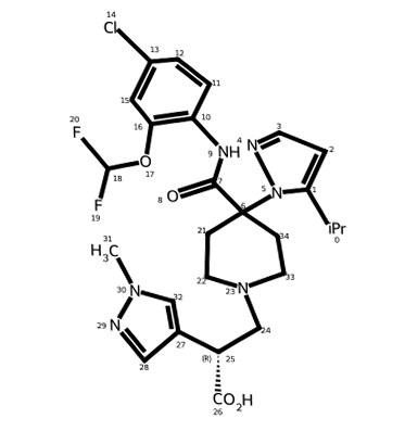 CC(C)c1ccnn1C1(C(=O)Nc2ccc(Cl)cc2OC(F)F)CCN(C[C@H](C(=O)O)c2cnn(C)c2)CC1